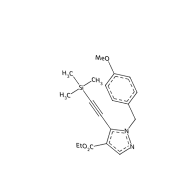 CCOC(=O)c1cnn(Cc2ccc(OC)cc2)c1C#C[Si](C)(C)C